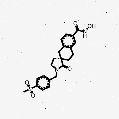 CS(=O)(=O)c1ccc(CN2CC[C@]3(CCc4cc(C(=O)NO)ccc4C3)C2=O)cc1